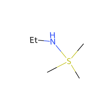 CCNS(C)(C)C